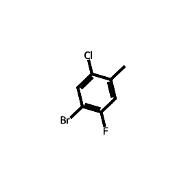 Cc1cc(F)c(Br)cc1Cl